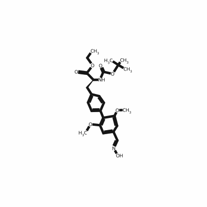 CCOC(=O)[C@H](Cc1ccc(-c2c(OC)cc(C=NO)cc2OC)cc1)NC(=O)OC(C)(C)C